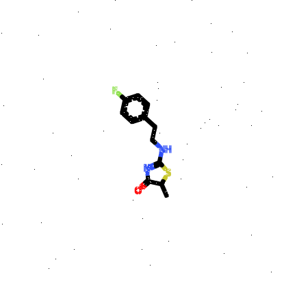 CC1SC(NCCc2ccc(F)cc2)=NC1=O